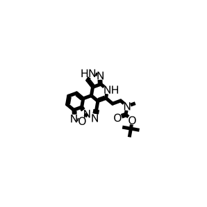 CN(CCC1=C(C#N)C(c2cccc3nonc23)c2c[nH]nc2N1)C(=O)OC(C)(C)C